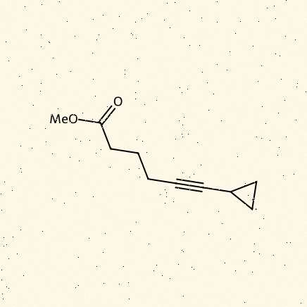 COC(=O)CCCC#CC1[CH]C1